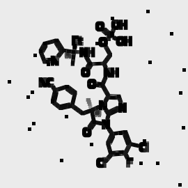 CC[C@](C)(NC(=O)C(COP(=O)(O)O)NC(=O)c1cnc2n1[C@](C)(Cc1ccc(C#N)cc1)C(=O)N2c1cc(Cl)c(F)c(Cl)c1)c1ccccn1